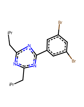 CC(C)Cc1nc(CC(C)C)nc(-c2cc(Br)cc(Br)c2)n1